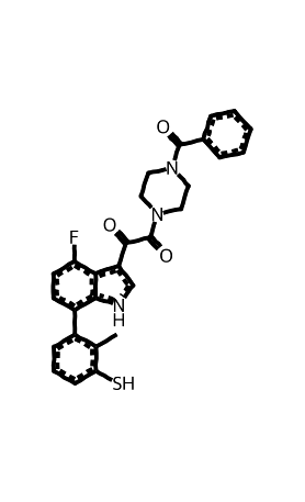 Cc1c(S)cccc1-c1ccc(F)c2c(C(=O)C(=O)N3CCN(C(=O)c4ccccc4)CC3)c[nH]c12